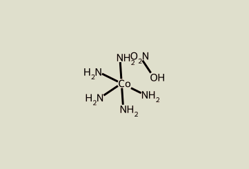 O=[N+]([O-])O.[NH2][Co]([NH2])([NH2])([NH2])[NH2]